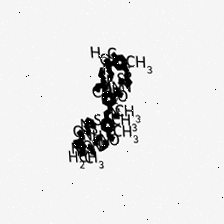 C=CC(=O)N1CCN(C(=O)c2cc(Sc3cnc(NC(=O)c4cccc(C(Cc5cc(C)c(C(=O)N6CCN(C(=O)C=C)CC6)cc5Sc5cnc(NC(=O)c6cnn(C)c6)s5)N(C)C)c4)s3)c(C)cc2C)CC1